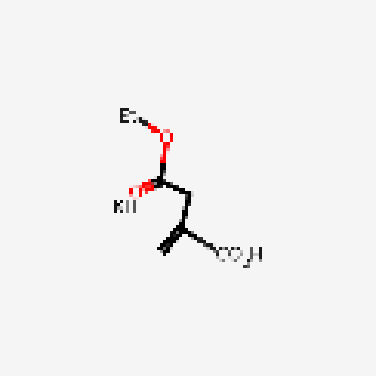 C=C(CC(=O)OCC)C(=O)O.[KH]